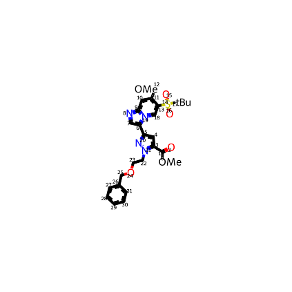 COC(=O)c1cc(-c2cnc3cc(OC)c(S(=O)(=O)C(C)(C)C)cn23)nn1CCOCc1ccccc1